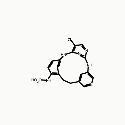 O=C(O)Nc1ccc2cc1CCc1cncc(c1)Nc1ncc(Cl)c(n1)N2